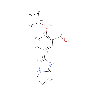 O=Cc1cc(-c2cn3c(n2)CCC3)ccc1OC1CCC1